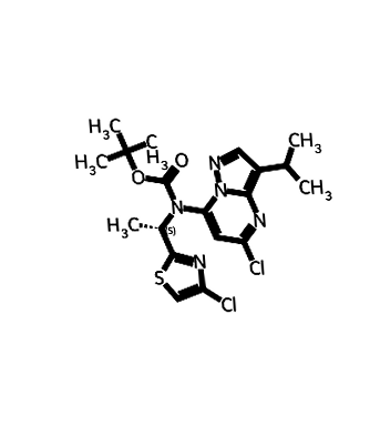 CC(C)c1cnn2c(N(C(=O)OC(C)(C)C)[C@@H](C)c3nc(Cl)cs3)cc(Cl)nc12